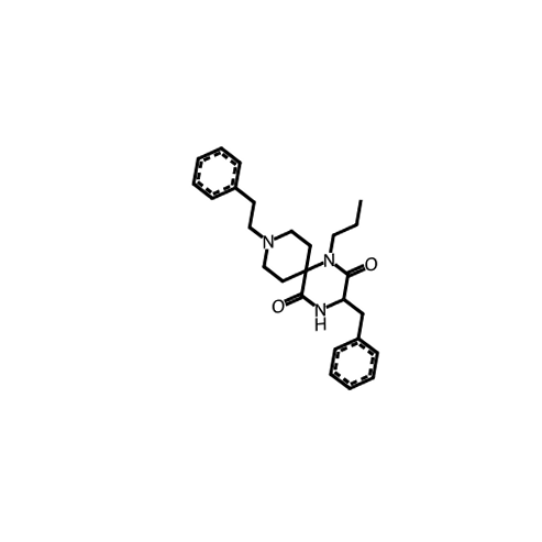 CCCN1C(=O)C(Cc2ccccc2)NC(=O)C12CCN(CCc1ccccc1)CC2